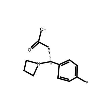 O=C(O)C[C@H](c1ccc(F)cc1)N1CCC1